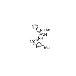 CC(=O)N[C@@H](Cc1cccnc1)[C@@H](O)CN[C@H]1CC2(CCC2)Oc2ncc(CC(C)(C)C)cc21